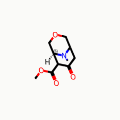 COC(=O)C1C(=O)CC2COC[C@H]1N2C